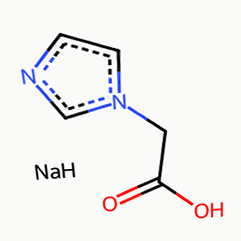 O=C(O)Cn1ccnc1.[NaH]